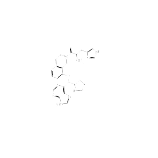 NC(Cc1c[nH]cn1)C(=O)N1CCc2cccc(O[C@@H](c3ncnc4[nH]cnc34)C3CCCN3)c2C1